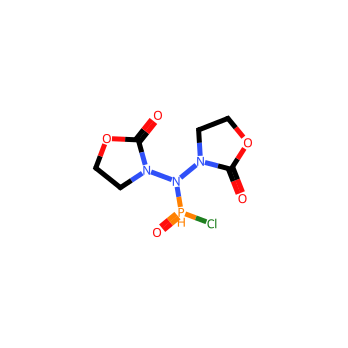 O=C1OCCN1N(N1CCOC1=O)[PH](=O)Cl